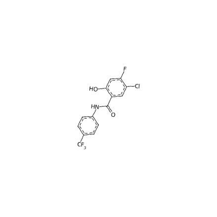 O=C(Nc1ccc(C(F)(F)F)cc1)c1cc(Cl)c(F)cc1O